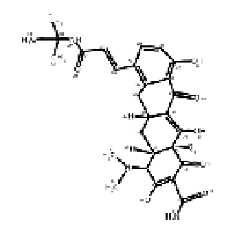 CN(C)[C@@H]1C(O)=C(C(N)=O)C(=O)[C@@]2(O)C(O)=C3C(=O)c4c(O)ccc(/C=C/C(=O)NC(C)(C)C)c4C[C@H]3C[C@@H]12